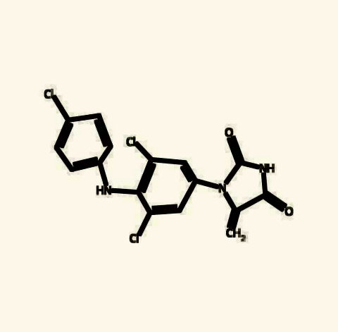 C=C1C(=O)NC(=O)N1c1cc(Cl)c(Nc2ccc(Cl)cc2)c(Cl)c1